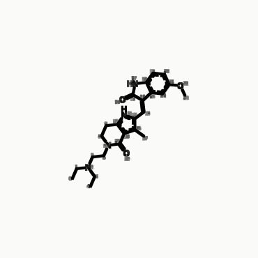 CCN(CC)CCN1CCc2[nH]c(C=C3C(=O)Nc4ccc(OC)cc43)c(C)c2C1=O